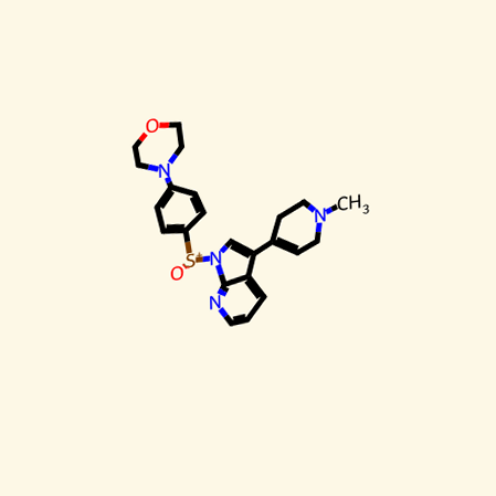 CN1CC=C(c2cn([S+]([O-])c3ccc(N4CCOCC4)cc3)c3ncccc23)CC1